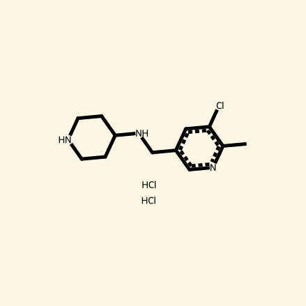 Cc1ncc(CNC2CCNCC2)cc1Cl.Cl.Cl